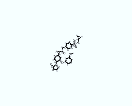 COc1cccc(Oc2cc(NC(=O)Cc3ccc(S(=O)(=O)CC4CC4)cc3)ccc2-n2nccc2C)c1